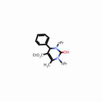 CCCN1C(C)=C(C(=O)OCC)C(c2ccccc2)N(CCC)C1O